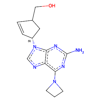 Nc1nc(N2CCC2)c2ncn([C@@H]3C=CC(CO)C3)c2n1